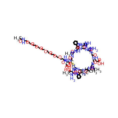 CC(=O)NCCOCCOCCOCCOCCOCCOCCOCCOCCC(=O)N[C@@H](CC(=O)O)C(=O)N[C@@H]1CSSC[C@H](C(=O)NC(C(N)=O)C(C)O)NC(=O)[C@H](Cc2c[nH]c3ccccc23)NC(=O)C(C(C)C)NC(=O)[C@@H](CC(C)C)NC(=O)[C@H](CCC(=O)O)NC(=O)CNC(=O)[C@H](CN)NC(=O)[C@H](Cc2c[nH]cn2)NC(=O)[C@H](Cc2c[nH]c3ccccc23)NC(=O)[C@@H](C)NC1=O